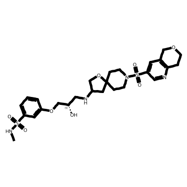 CNS(=O)(=O)c1cccc(OC[C@@H](O)CNC2COC3(CCN(S(=O)(=O)c4cnc5c(c4)COCC5)CC3)C2)c1